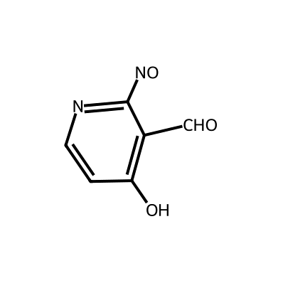 O=Cc1c(O)ccnc1N=O